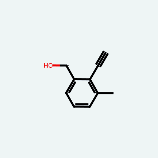 C#Cc1c(C)cccc1[CH]O